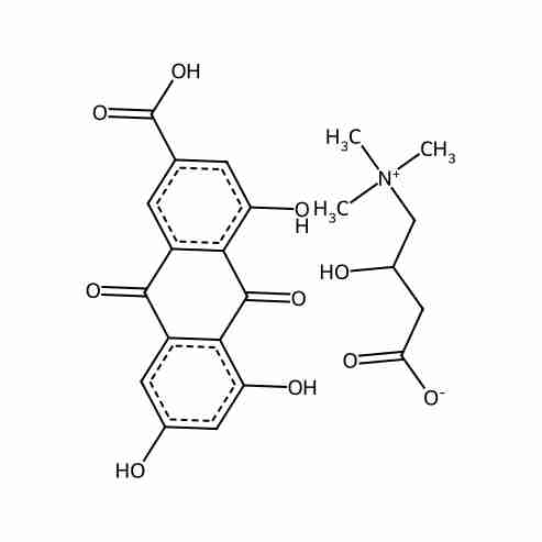 C[N+](C)(C)CC(O)CC(=O)[O-].O=C(O)c1cc(O)c2c(c1)C(=O)c1cc(O)cc(O)c1C2=O